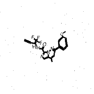 C#CC(NC(=O)c1ncc2c(C)cc(-c3cccc(OC)c3)nn12)C(F)(F)F